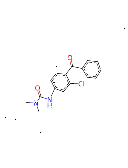 CN(C)C(=O)Nc1ccc(C(=O)c2ccccc2)c(Cl)c1